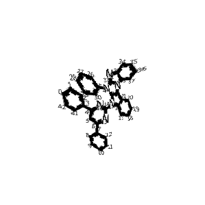 c1ccc(-c2cc(-c3ccccc3)nc(-n3c4ccccc4c4c3n(-c3ccccc3)c3nc5ccccc5n43)n2)cc1